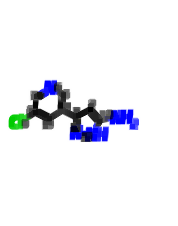 Nc1cc(-c2cncc(Cl)c2)n[nH]1